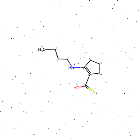 CCCCNC1=C(C(O)=S)CCC1